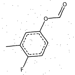 Cc1cc(OC=O)ccc1F